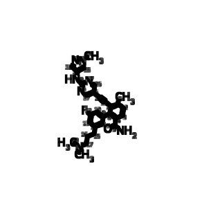 Cc1ccc(C(N)=O)c(-c2cc(F)cc(CCCN(C)C)c2)c1C#Cc1cnc(Nc2cnn(C)c2)nc1